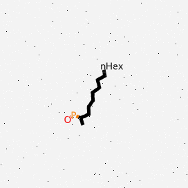 CCCCCCCCCCCCCC(C)P=O